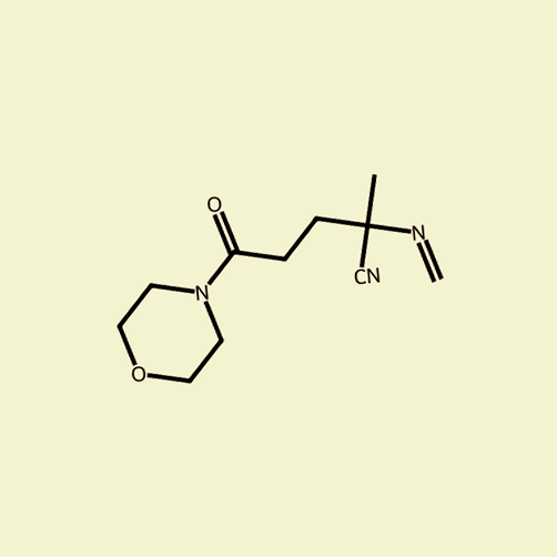 C=NC(C)(C#N)CCC(=O)N1CCOCC1